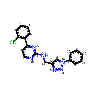 Clc1ccccc1-c1ccnc(NCc2cn(-c3ccccc3)nn2)n1